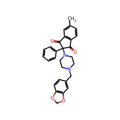 Cc1ccc2c(c1)C(=O)C(c1ccccc1)(N1CCN(Cc3ccc4c(c3)OCO4)CC1)C2=O